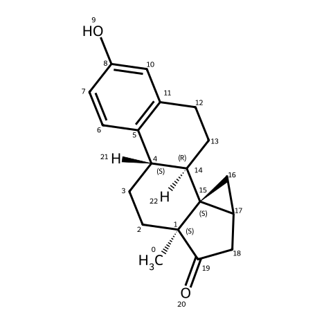 C[C@]12CC[C@@H]3c4ccc(O)cc4CC[C@H]3[C@@]13CC3CC2=O